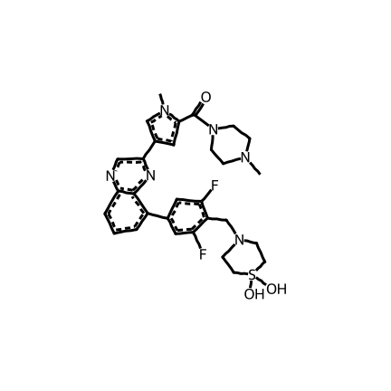 CN1CCN(C(=O)c2cc(-c3cnc4cccc(-c5cc(F)c(CN6CCS(O)(O)CC6)c(F)c5)c4n3)cn2C)CC1